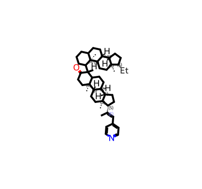 CC[C@H]1CC[C@H]2[C@@H]3CCC4CCCC(C5(C)C(=O)CC[C@@]6(C)C5CC[C@H]5[C@@H]7CC[C@H](/C(C)=C/c8ccncc8)[C@@]7(C)CC[C@@H]56)[C@]4(C)[C@H]3CC[C@]12C